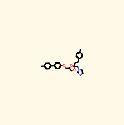 Cc1ccc(CCC2(Cn3ccnc3)OCC(COc3ccc(-c4ccc(C)cc4)cc3)O2)cc1